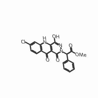 COC(=O)C(c1ccccc1)n1nc(O)c2[nH]c3cc(Cl)ccc3c(=O)c2c1=O